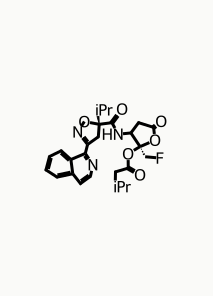 CC(C)CC(=O)O[C@]1(CF)OC(=O)CC1NC(=O)[C@]1(C(C)C)CC(c2nccc3ccccc23)=NO1